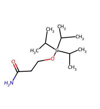 CC(C)[Si](OCCC(N)=O)(C(C)C)C(C)C